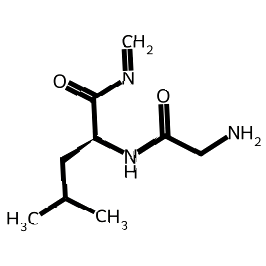 C=NC(=O)[C@H](CC(C)C)NC(=O)CN